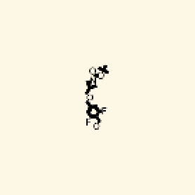 CC(C)(C)OC(=O)N1CC(COCc2cc(F)c(C=O)c(F)c2)C1